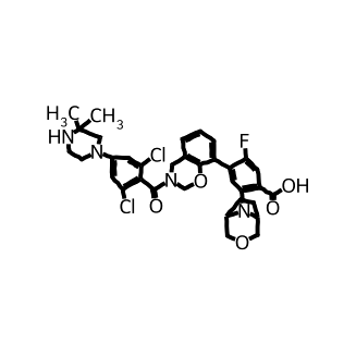 CC1(C)CN(c2cc(Cl)c(C(=O)N3COc4c(cccc4-c4cc(N5C6CCC5COC6)c(C(=O)O)cc4F)C3)c(Cl)c2)CCN1